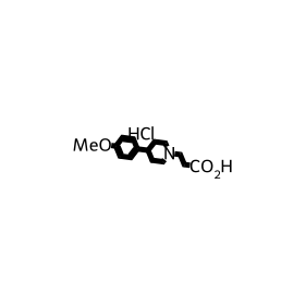 COc1ccc(C2CCN(CCC(=O)O)CC2)cc1.Cl